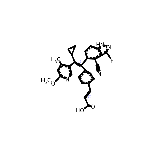 COc1cc(C)c(/C(=C(\c2ccc(/C=C/C(=O)O)cc2)c2ccc3[nH]nc(F)c3c2C#N)C2CC2)cn1